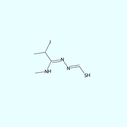 CN/C(=N\N=C\S)C(C)I